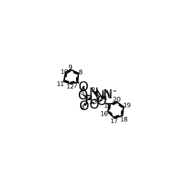 [N-]=[N+]=NP(=O)(OOc1ccccc1)OOc1ccccc1